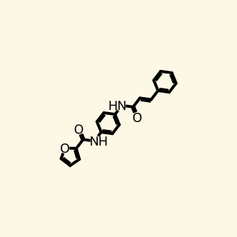 O=C(/C=C/c1ccccc1)Nc1ccc(NC(=O)c2ccco2)cc1